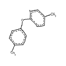 Cc1ccc(Oc2ccc(C)cn2)cc1